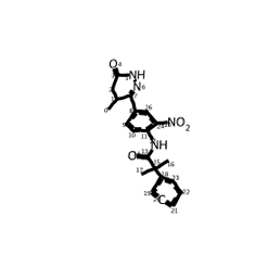 CC1CC(=O)NN=C1c1ccc(NC(=O)C(C)(C)c2ccccc2)c([N+](=O)[O-])c1